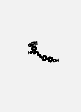 O=C(O)c1ccc2c(CCCCN3CCC(c4ccc(O)cc4)CC3)c[nH]c2c1